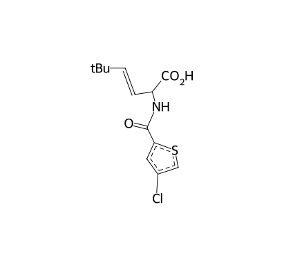 CC(C)(C)/C=C/C(NC(=O)c1cc(Cl)cs1)C(=O)O